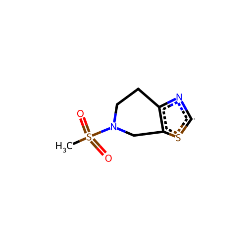 CS(=O)(=O)N1CCc2n[c]sc2C1